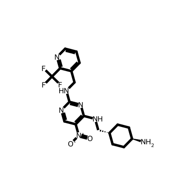 N[C@H]1CC[C@H](CNc2nc(NCc3cccnc3C(F)(F)F)ncc2[N+](=O)[O-])CC1